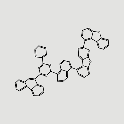 c1ccc(C2=NC(c3cc4ccccc4c4ccccc34)=NC(c3cccc4c(-c5cccc6oc7cc(-c8cccc9oc%10ccccc%10c89)ccc7c56)cccc34)N2)cc1